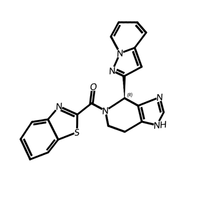 O=C(c1nc2ccccc2s1)N1CCc2[nH]cnc2[C@@H]1c1cc2ccccn2n1